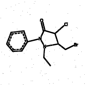 CCN1C(CBr)C(Cl)C(=O)N1c1ccccc1